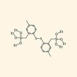 CCO[Si](Cc1cc(C)ccc1SSc1ccc(C)cc1C[Si](OCC)(OCC)OCC)(OCC)OCC